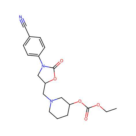 CCOC(=O)OC1CCCN(CC2CN(c3ccc(C#N)cc3)C(=O)O2)C1